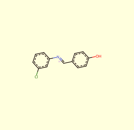 Oc1ccc(/C=N/c2cccc(Cl)c2)cc1